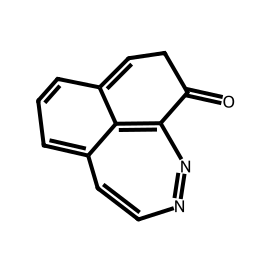 O=C1CC=c2cccc3c2=C1N=NC=C3